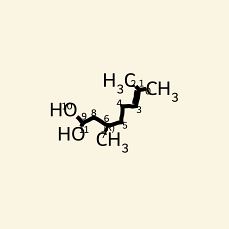 CC(C)=CCC[C@@H](C)CC(O)O